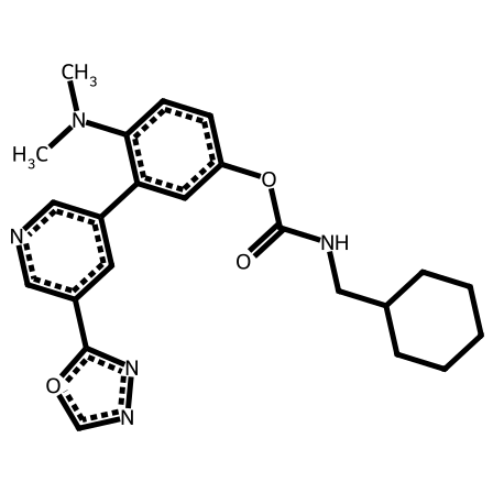 CN(C)c1ccc(OC(=O)NCC2CCCCC2)cc1-c1cncc(-c2nnco2)c1